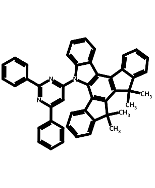 CC1(C)c2ccccc2-c2c1c1c(c3c2c2ccccc2n3-c2cc(-c3ccccc3)nc(-c3ccccc3)n2)-c2ccccc2C1(C)C